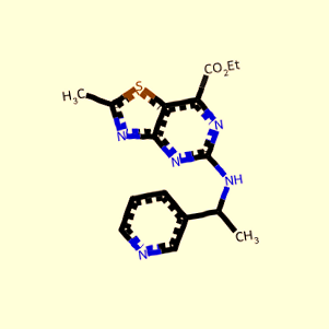 CCOC(=O)c1nc(NC(C)c2cccnc2)nc2nc(C)sc12